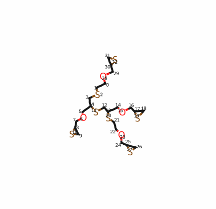 C(CSCC(COCC1CS1)SCC(COCC1CS1)SCCOCC1CS1)OCC1CS1